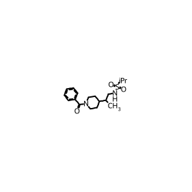 CC(CNS(=O)(=O)C(C)C)C1CCN(C(=O)c2ccccc2)CC1